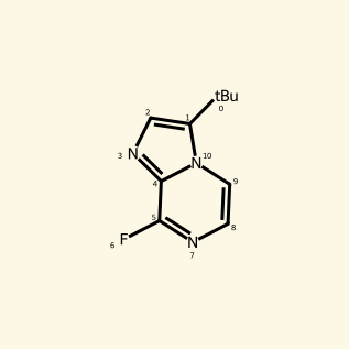 CC(C)(C)c1cnc2c(F)nccn12